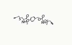 C#CCSCC(N)C(=O)OCc1ccc(OC(=O)C(N)CSCC#C)cc1